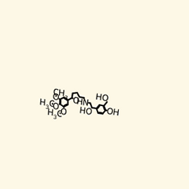 COc1cc(C2CCC(CNCC(O)c3ccc(O)c(CO)c3)O2)cc(OC)c1OC